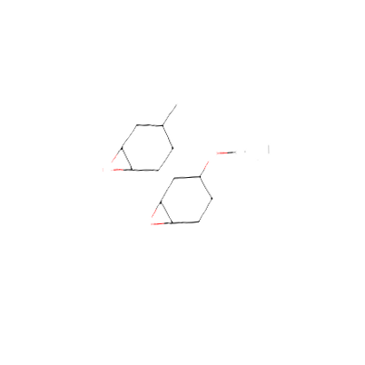 CC1CCC2OC2C1.O=C(O)OC1CCC2OC2C1